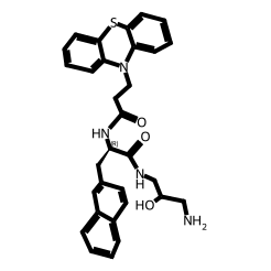 NCC(O)CNC(=O)[C@@H](Cc1ccc2ccccc2c1)NC(=O)CCN1c2ccccc2Sc2ccccc21